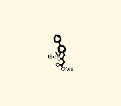 COC(=O)CC(Cc1ccc(-c2ccccc2)cc1)O[Si](C)(C)C(C)(C)C